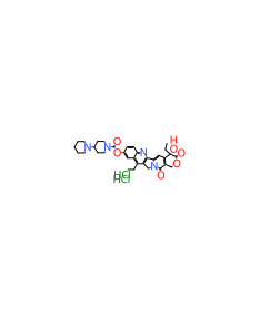 CCc1c2c(nc3ccc(OC(=O)N4CCC(N5CCCCC5)CC4)cc13)-c1cc3c(c(=O)n1C2)COC(=O)[C@]3(O)CC.Cl.Cl